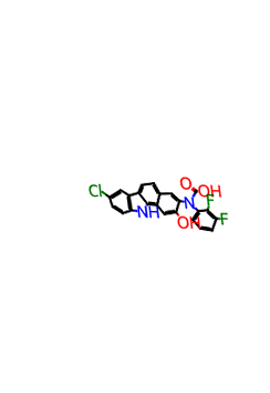 O=C(O)N(c1cc2ccc3c4cc(Cl)ccc4[nH]c3c2cc1O)c1cccc(F)c1F